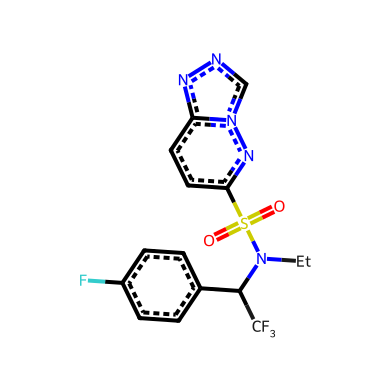 CCN(C(c1ccc(F)cc1)C(F)(F)F)S(=O)(=O)c1ccc2nncn2n1